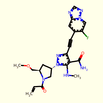 C=CC(=O)N1C[C@@H](n2nc(C#Cc3cc4ncnn4cc3F)c(C(N)=O)c2NC)C[C@@H]1COC